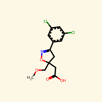 COCC1(CC(=O)O)CC(c2cc(Cl)cc(Cl)c2)=NO1